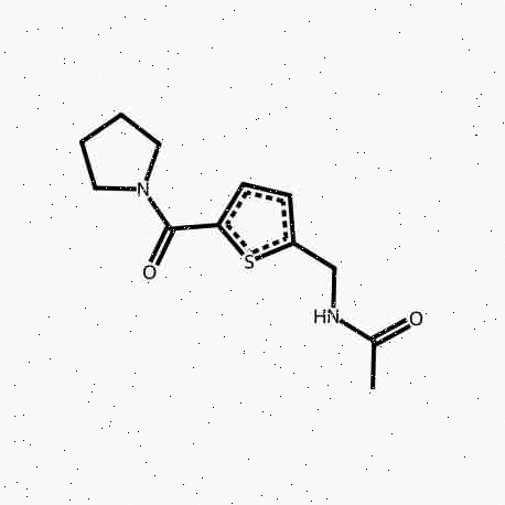 CC(=O)NCc1ccc(C(=O)N2CCCC2)s1